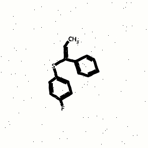 CC=C(Sc1ccc(F)cc1)c1ccccc1